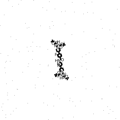 CC(C)(C)OC(=O)N=C(NC(=O)OC(C)(C)C)N1CC=C(c2ccc(NC(=O)c3ccc(C4=CCN(C(=NC(=O)OC(C)(C)C)NC(=O)OC(C)(C)C)CC4)c(F)c3)nn2)CC1